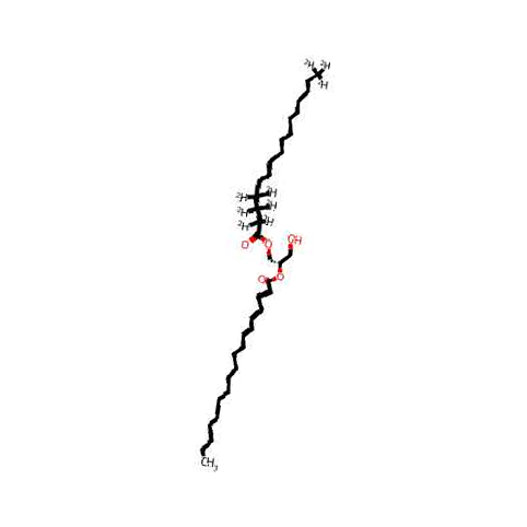 [2H]C([2H])([2H])CCCCCCCCCCCC([2H])([2H])C([2H])([2H])C([2H])([2H])C(=O)OC[C@H](CO)OC(=O)C=CC=CC=CCCCCCCCCCCC